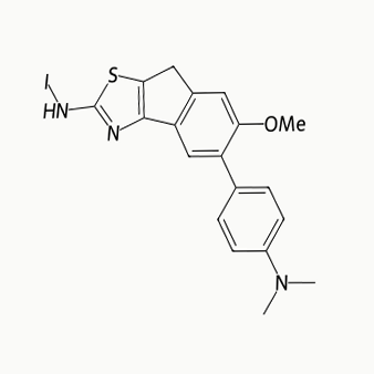 COc1cc2c(cc1-c1ccc(N(C)C)cc1)-c1nc(NI)sc1C2